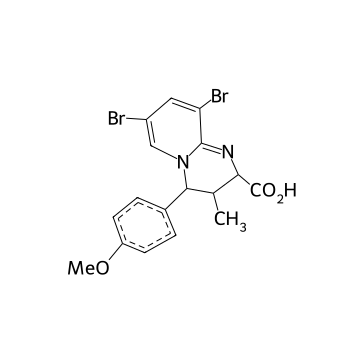 COc1ccc(C2C(C)C(C(=O)O)N=C3C(Br)=CC(Br)=CN32)cc1